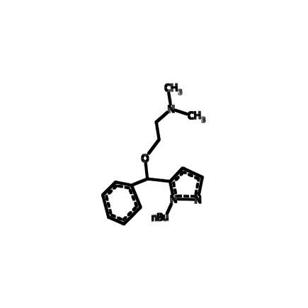 CCCCn1nccc1C(OCCN(C)C)c1ccccc1